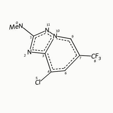 CNc1nc2c(Cl)cc(C(F)(F)F)cn2n1